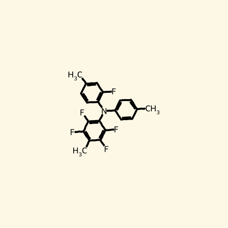 Cc1ccc(N(c2ccc(C)cc2F)c2c(F)c(F)c(C)c(F)c2F)cc1